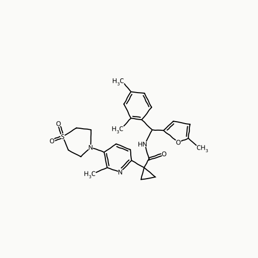 Cc1ccc(C(NC(=O)C2(c3ccc(N4CCS(=O)(=O)CC4)c(C)n3)CC2)c2ccc(C)o2)c(C)c1